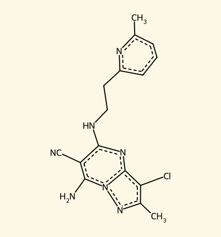 Cc1cccc(CCNc2nc3c(Cl)c(C)nn3c(N)c2C#N)n1